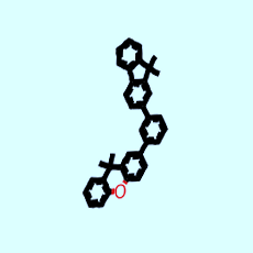 CC1(C)c2ccccc2Oc2ccc(-c3cccc(-c4ccc5c(c4)C(C)(C)c4ccccc4-5)c3)cc21